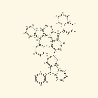 c1ccc(C2c3ccccc3-c3cc(-c4ccc5c(c4)c4c(ccc6c7ccccc7n(-c7ccccc7)c64)n5-c4cccc5ccccc45)ccc32)cc1